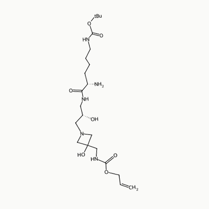 C=CCOC(=O)NCC1(O)CN(C[C@@H](O)CNC(=O)[C@@H](N)CCCCNC(=O)OC(C)(C)C)C1